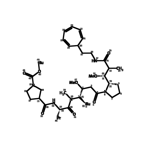 CC[C@H](C)[C@@H](C(CC(=O)N1CCC[C@H]1[C@H](OC)C(C)C(=O)NCCC1C=CC=CC=C1)OC)N(C)C(=O)[C@@H](NC(=O)C1CCN(C(=O)OC(C)(C)C)C1)C(C)C